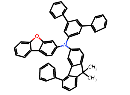 CC1(C)c2ccc(N(c3cc(-c4ccccc4)cc(-c4ccccc4)c3)c3ccc4c(c3)oc3ccccc34)cc2-c2c(-c3ccccc3)cccc21